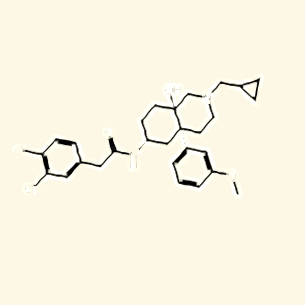 COc1cccc([C@@]23CCN(CC4CC4)C[C@@]2(O)CC[C@H](NC(=O)Cc2ccc(Cl)c(Cl)c2)C3)c1